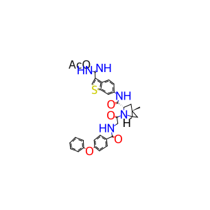 CC(=O)ONC(=N)c1csc2cc(NC(=O)[C@@H]3C[C@]4(C)C[C@@H]4N3C(=O)CNC(=O)c3ccc(Oc4ccccc4)cc3)ccc12